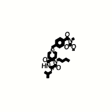 CCCCN1C(=O)[C@H](CC(C)C)NC(=O)C12CCN(Cc1ccc(C(=O)N(C)C(=O)OC)cc1)CC2